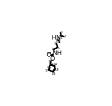 CC(C)N/N=C/CCNC(=O)OCc1ccccc1